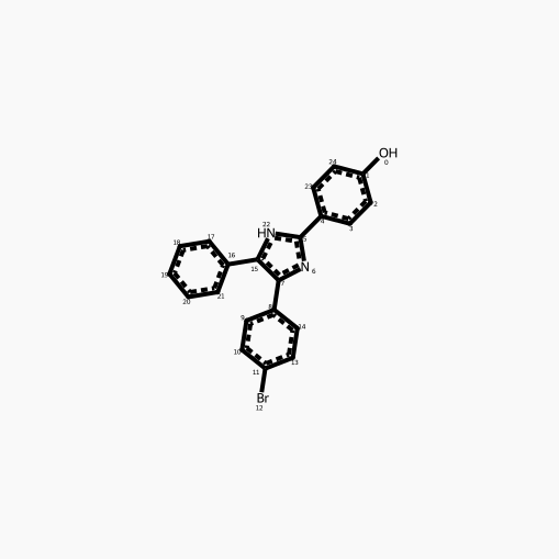 Oc1ccc(-c2nc(-c3ccc(Br)cc3)c(-c3ccccc3)[nH]2)cc1